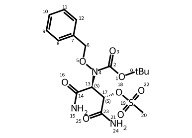 CC(C)(C)OC(=O)N(OCc1ccccc1)[C@H](C(N)=O)[C@H](OS(C)(=O)=O)C(N)=O